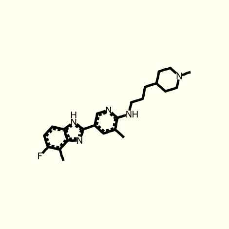 Cc1cc(-c2nc3c(C)c(F)ccc3[nH]2)cnc1NCCCC1CCN(C)CC1